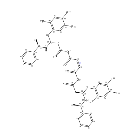 C[C@@H](N[C@@H](CC(=O)OC(=O)/C=C\C(=O)OC(=O)C[C@@H](Cc1cc(F)c(F)cc1F)N[C@H](C)c1ccccc1)Cc1cc(F)c(F)cc1F)c1ccccc1